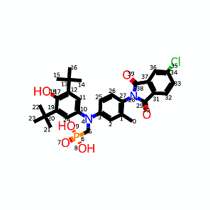 Cc1cc(N(CP(=O)(O)O)c2cc(C(C)(C)C)c(O)c(C(C)(C)C)c2)ccc1N1C(=O)c2ccc(Cl)cc2C1=O